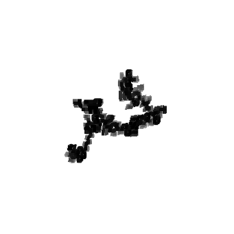 CC(=O)O[C@@H](C)/C=C\C(=O)N[C@@H]1C[C@H](C)[C@H](C/C=C(C)/C=C/[C@H]2O[C@H](CC(=O)NNC(=O)OCc3ccc(NC(=O)[C@H](CCCNC(N)=O)NC(=O)[C@@H](NC(=O)CCCCCC(=O)ON4C(=O)CCC4=O)C(C)C)cc3)C[C@@]3(CO3)[C@@H]2O)O[C@@H]1C